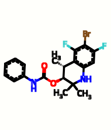 C[C@@H]1c2c(cc(F)c(Br)c2F)NC(C)(C)[C@H]1OC(=O)Nc1ccccc1